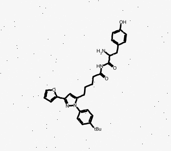 CC(C)(C)c1ccc(-n2nc(-c3ccco3)cc2CCCCC(=O)NC(=O)C(N)Cc2ccc(O)cc2)cc1